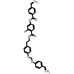 C=Cc1ccc(OCOc2ccc(CCOC(=O)c3ccc(OC(=O)c4ccc(C=C)cc4)cc3F)cc2)cc1